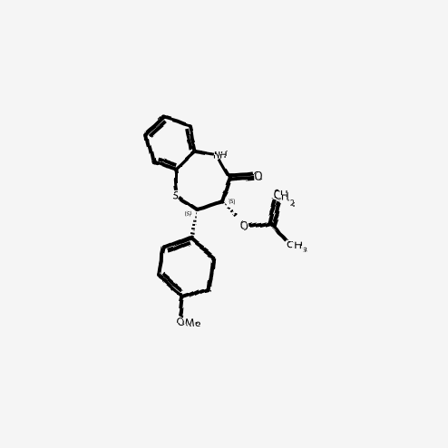 C=C(C)O[C@H]1C(=O)Nc2ccccc2S[C@H]1C1=CC=C(OC)CC1